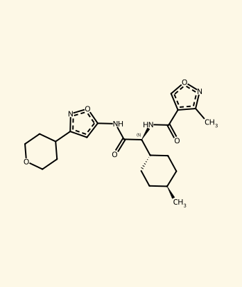 Cc1nocc1C(=O)N[C@H](C(=O)Nc1cc(C2CCOCC2)no1)[C@H]1CC[C@H](C)CC1